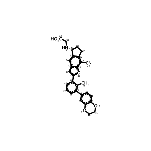 Cc1c(-c2ccc3c(c2)OCCO3)cccc1-c1cc2cc3c(c(C#N)c2o1)CC[C@H]3NCC(=O)O